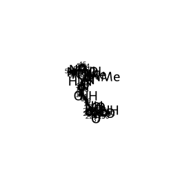 CNC(=O)c1nnc(Nc2ccc(C(=O)NCCCNc3cccc4c3C(=O)N(C3CCC(=O)NC3=O)C4=O)cn2)cc1Nc1cccc(-c2ncn(C)n2)c1OC